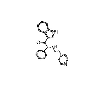 O=C(c1c[nH]c2ccccc12)[C@H](NCCc1ccncc1)c1ccccc1